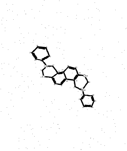 c1ccc(N2COc3ccc4c5c(ccc4c3C2)OCN(c2ccccc2)C5)cc1